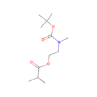 CC(C)C(=O)OCCN(C)C(=O)OC(C)(C)C